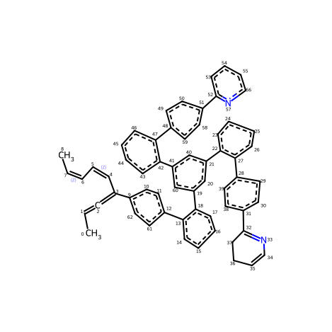 CC=C=C(/C=C\C=C/C)c1ccc(-c2ccccc2-c2cc(-c3ccccc3-c3ccc(C4=NC=CCC4)cc3)cc(-c3ccccc3-c3ccc(-c4ccccn4)cc3)c2)cc1